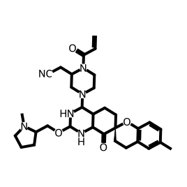 C=CC(=O)N1CCN(C2NC(OCC3CCCN3C)NC3C(=O)[C@]4(CCc5cc(C)ccc5O4)CCC32)CC1CC#N